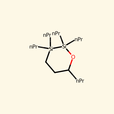 CCCC1CC[Si](CCC)(CCC)[Si](CCC)(CCC)O1